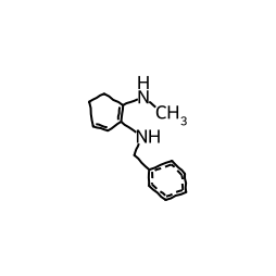 CNC1=C(NCc2ccccc2)C=CCC1